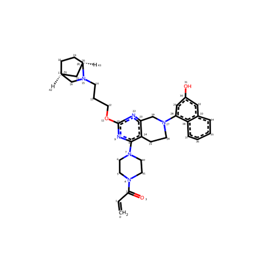 C=CC(=O)N1CCN(c2nc(OCCCN3C[C@H]4CC[C@@H]3C4)nc3c2CCN(c2cc(O)cc4ccccc24)C3)CC1